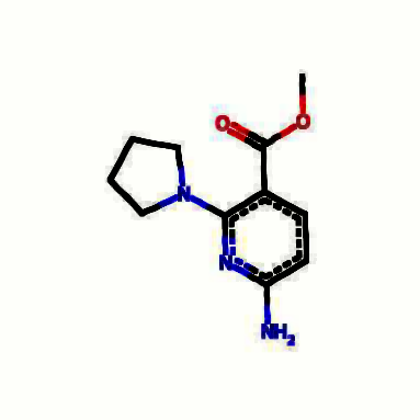 COC(=O)c1ccc(N)nc1N1CCCC1